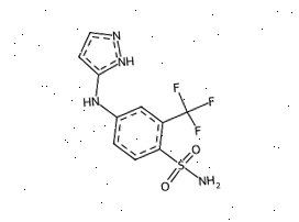 NS(=O)(=O)c1ccc(Nc2ccn[nH]2)cc1C(F)(F)F